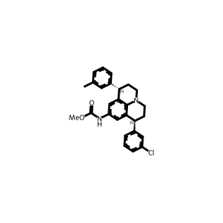 COC(=O)Nc1cc2c3c(c1)[C@H](c1cccc(Cl)c1)CCN3CC[C@H]2c1cccc(C)c1